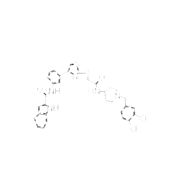 O=C(CSc1nc(-c2cccc(NC(=O)c3cc4ccccc4[nH]3)c2)cs1)NC1CCN(Cc2ccc(Cl)c(Cl)c2)CC1